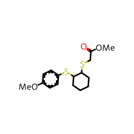 COC(=O)CSC1CCCCC1Sc1ccc(OC)cc1